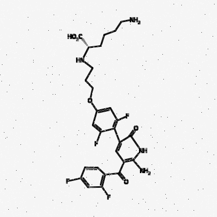 NCCCC[C@H](NCCCOc1cc(F)c(-c2cc(C(=O)c3ccc(F)cc3F)c(N)[nH]c2=O)c(F)c1)C(=O)O